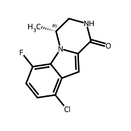 C[C@@H]1CNC(=O)c2cc3c(Cl)ccc(F)c3n21